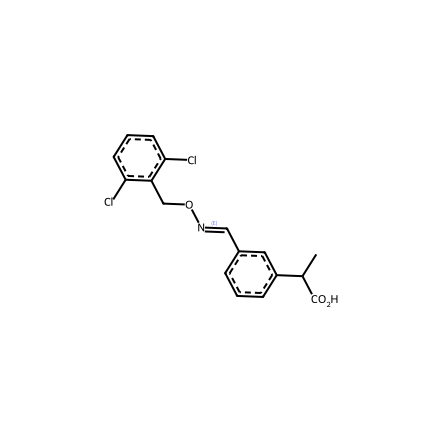 CC(C(=O)O)c1cccc(/C=N/OCc2c(Cl)cccc2Cl)c1